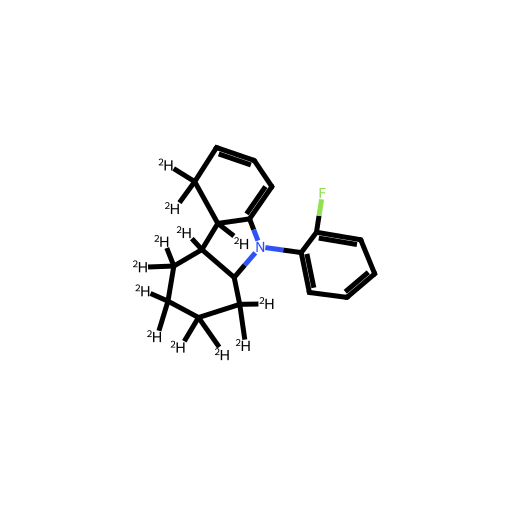 [2H]C1([2H])C=CC=C2N(c3ccccc3F)C3C([2H])([2H])C([2H])([2H])C([2H])([2H])C([2H])([2H])C3([2H])C21[2H]